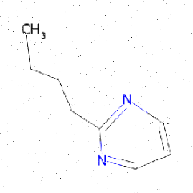 CCCCc1n[c]ccn1